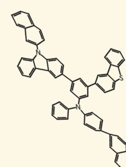 c1ccc(N(c2ccc(-c3ccc4ccccc4c3)cc2)c2cc(-c3ccc4sc5ccccc5c4c3)cc(-c3ccc4c(c3)c3ccccc3n4-c3ccc4ccccc4c3)c2)cc1